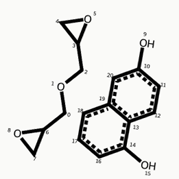 C(OCC1CO1)C1CO1.Oc1ccc2c(O)cccc2c1